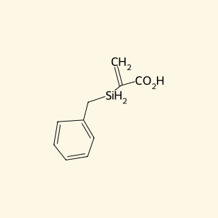 C=C([SiH2]Cc1ccccc1)C(=O)O